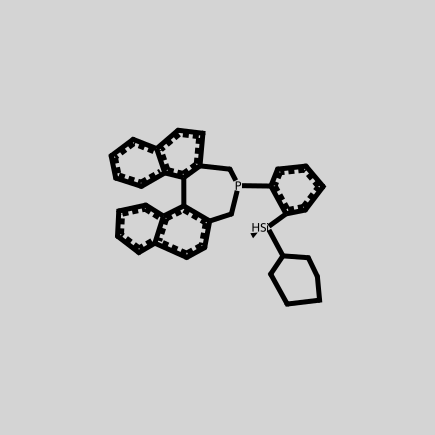 C[Si@@H](c1ccccc1P1Cc2ccc3ccccc3c2-c2c(ccc3ccccc23)C1)C1CCCCC1